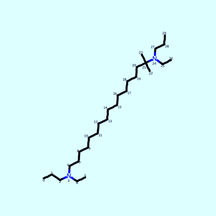 CCCN(CC)CCCCCCCCCCCCCCCC(C)(C)N(CC)CCC